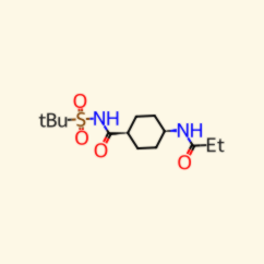 CCC(=O)N[C@H]1CC[C@@H](C(=O)NS(=O)(=O)C(C)(C)C)CC1